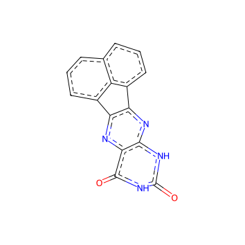 O=c1[nH]c(=O)c2nc3c(nc2[nH]1)-c1cccc2cccc-3c12